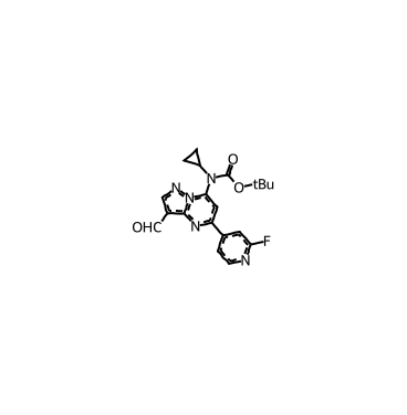 CC(C)(C)OC(=O)N(c1cc(-c2ccnc(F)c2)nc2c(C=O)cnn12)C1CC1